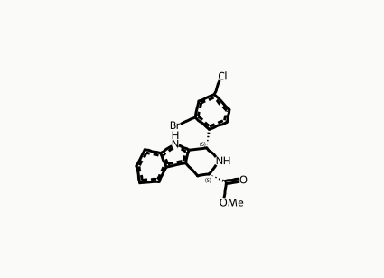 COC(=O)[C@@H]1Cc2c([nH]c3ccccc23)[C@H](c2ccc(Cl)cc2Br)N1